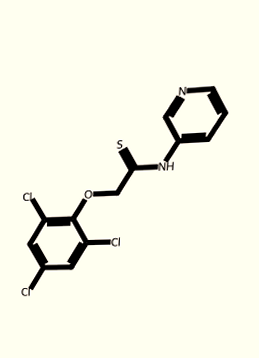 S=C(COc1c(Cl)cc(Cl)cc1Cl)Nc1cccnc1